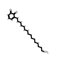 CCCCCCCCCCCCCCCCCC1=CC=CC(=O)C1=O